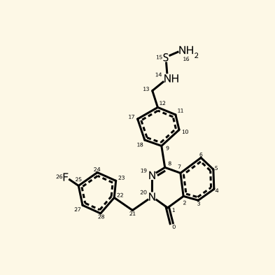 C=C1c2ccccc2C(c2ccc(CNSN)cc2)=NN1Cc1ccc(F)cc1